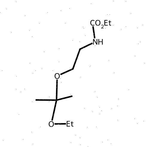 CCOC(=O)NCCOC(C)(C)OCC